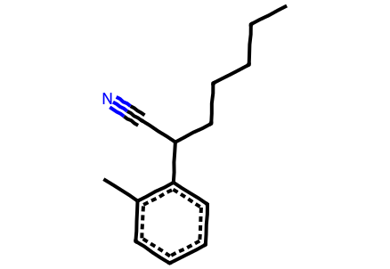 CCCCCC(C#N)c1ccccc1C